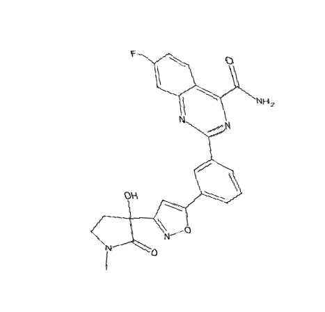 CN1CCC(O)(c2cc(-c3cccc(-c4nc(C(N)=O)c5ccc(F)cc5n4)c3)on2)C1=O